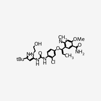 C=Nc1cc(OC)c(C(N)=O)cc1/C(=C\C)Oc1ccc(NC(=O)Nc2cc(C(C)(C)C)nn2CCO)c(Cl)c1